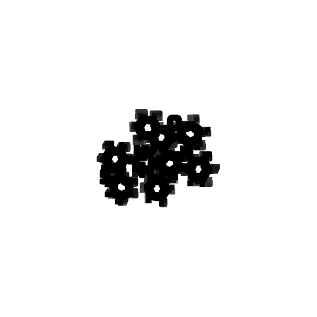 c1ccc(-c2nc(-c3cc4c(oc5cccc(-n6c7ccccc7c7ccccc76)c54)c4ccccc34)nc(-c3cccc4sc5ccccc5c34)n2)cc1